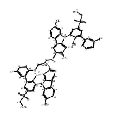 CC(C)(C)CC(C)(C)c1cc(-c2cccc(F)c2)c(O)c(-n2c3cc(C(C)(C)C)ccc3c3cc(OCCCOc4ccc(F)cc4-c4cc(C(C)(C)CC(C)(C)C)cc(-n5c6cc(C(C)(C)C)ccc6c6ccc(C(C)(C)C)cc65)c4O)c(C(C)(C)C)cc32)c1